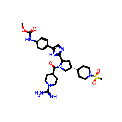 COC(=O)NC1C=CC(c2cnc(C3C[C@H](C4CCN(S(C)(=O)=O)CC4)CN3C(=O)C3CCN(C(=N)N)CC3)[nH]2)=CC1